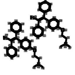 CC/C(=C(\c1ccccc1)c1ccc(OCCN(C)C)cc1)c1ccccc1.CC/C(=C(\c1ccccc1)c1ccc(OCCN(C)C)cc1)c1ccccc1